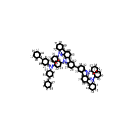 c1ccc(-c2ccc(N(c3ccc(-c4ccccc4)cc3)c3ccc(-n4c5ccc(-c6ccc7c(c6)c6ccc8c9ccccc9n(-c9ccccc9)c8c6n7-c6ccccc6)cc5c5ccc6c7ccccc7n(-c7ccccc7)c6c54)cc3)cc2)cc1